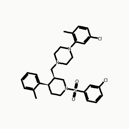 Cc1ccccc1[C@@H]1CCN(S(=O)(=O)c2cccc(Cl)c2)C[C@@H]1CN1CCN(c2cc(Cl)ccc2C)CC1